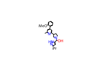 COc1ccccc1-c1cc(C)nc(C2CCN(C(O)c3cc(C(C)C)n[nH]3)C2)c1